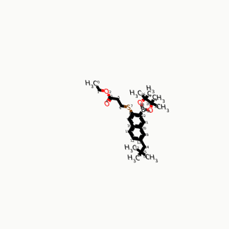 CCOC(=O)CCSc1cc2ccc(CC(C)(C)C)cc2cc1B1OC(C)(C)C(C)(C)O1